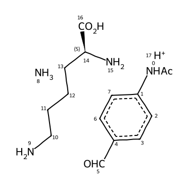 CC(=O)Nc1ccc(C=O)cc1.N.NCCCC[C@H](N)C(=O)O.[H+]